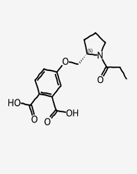 CCC(=O)N1CCC[C@H]1COc1ccc(C(=O)O)c(C(=O)O)c1